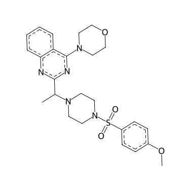 COc1ccc(S(=O)(=O)N2CCN(C(C)c3nc(N4CCOCC4)c4ccccc4n3)CC2)cc1